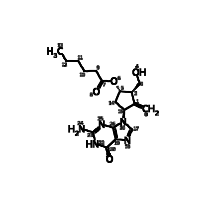 C=C1[C@H](CO)[C@@H](OC(=O)CCCCC)C[C@@H]1n1cnc2c(=O)[nH]c(N)nc21